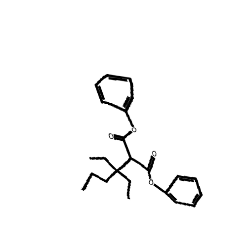 CCCC(CC)(CC)C(C(=O)Oc1ccccc1)C(=O)Oc1ccccc1